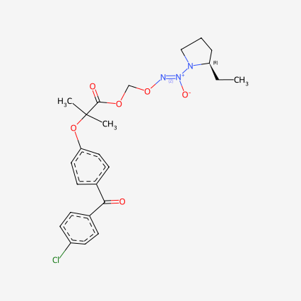 CC[C@@H]1CCCN1/[N+]([O-])=N/OCOC(=O)C(C)(C)Oc1ccc(C(=O)c2ccc(Cl)cc2)cc1